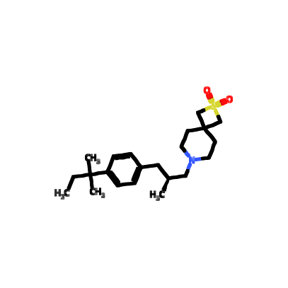 CCC(C)(C)c1ccc(C[C@H](C)CN2CCC3(CC2)CS(=O)(=O)C3)cc1